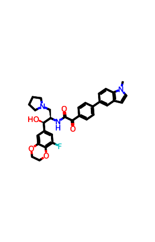 Cn1ccc2cc(-c3ccc(C(=O)C(=O)N[C@H](CN4CCCC4)[C@H](O)c4cc(F)c5c(c4)OCCO5)cc3)ccc21